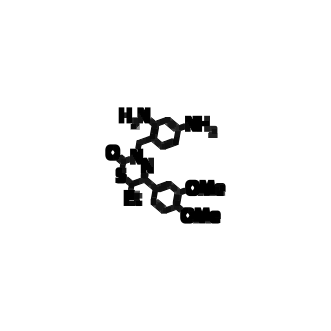 CCC1SC(=O)N(Cc2ccc(N)cc2N)N=C1c1ccc(OC)c(OC)c1